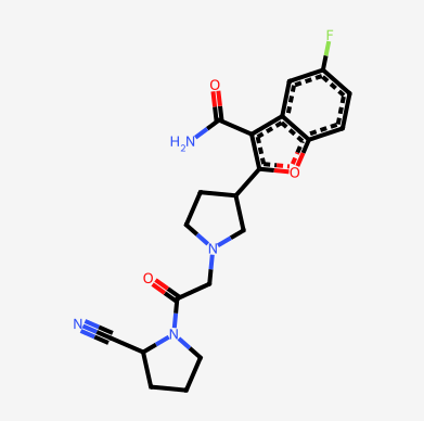 N#CC1CCCN1C(=O)CN1CCC(c2oc3ccc(F)cc3c2C(N)=O)C1